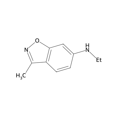 CCNc1ccc2c(C)noc2c1